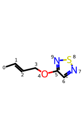 CC=CCOc1[c]nsn1